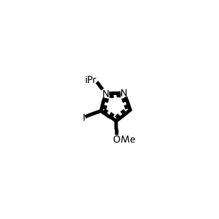 COc1cnn(C(C)C)c1I